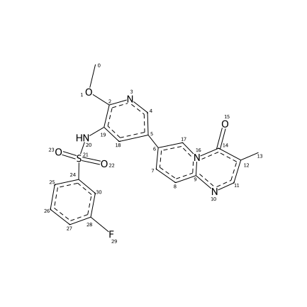 COc1ncc(-c2ccc3ncc(C)c(=O)n3c2)cc1NS(=O)(=O)c1cccc(F)c1